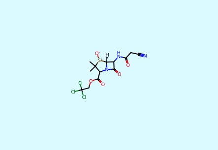 CC1(C)C(C(=O)OCC(Cl)(Cl)Cl)N2C(=O)C(NC(=O)CC#N)[C@H]2[S+]1[O-]